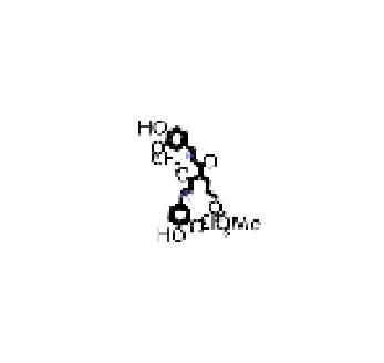 COCOCCCC(C(=O)/C=C/c1ccc(O)c(OC(F)(F)F)c1)C(=O)/C=C/c1ccc(O)c(OC(F)(F)F)c1